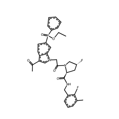 CCOP(=O)(c1ccccc1)c1ccc2c(C(C)=O)cn(CC(=O)N3C[C@H](F)C[C@H]3C(=O)NCc3cccc(C)c3F)c2c1